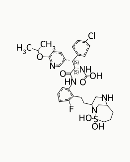 CC(C)Oc1ccc([C@H](c2ccc(Cl)cc2)[C@H](NC(=O)O)C(=O)Nc2cccc(F)c2CCC2CNC3CCCS(O)(O)N2C3)cn1